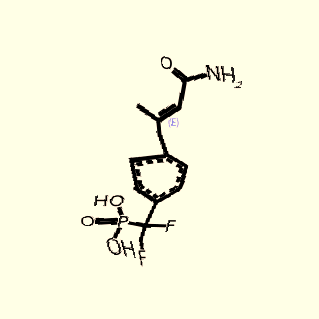 C/C(=C\C(N)=O)c1ccc(C(F)(F)P(=O)(O)O)cc1